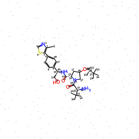 Cc1ncsc1-c1ccc([C@H](CO)NC(=O)[C@@H]2CC(O[Si](C)(C)C(C)(C)C)CN2C(=O)[C@@H](N)C(C)(C)C)cc1